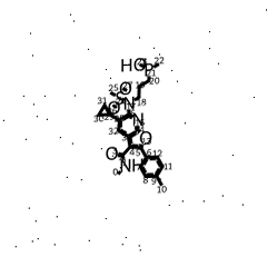 CNC(=O)c1c(-c2ccc(C)cc2)oc2nc(N(CCCP(C)O)S(C)(=O)=O)c(C3CC3)cc12